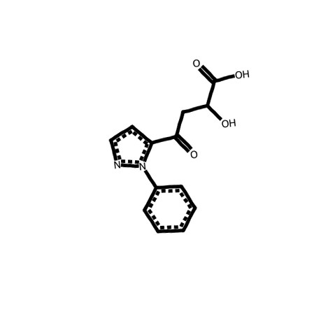 O=C(CC(O)C(=O)O)c1ccnn1-c1ccccc1